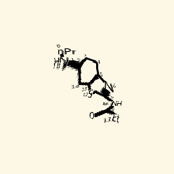 CCCNC1CCc2nc(NC(=O)CC)sc2C1